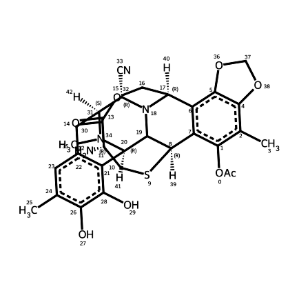 CC(=O)Oc1c(C)c2c(c3c1[C@H]1SC[C@H](N)C(=O)OC[C@@H]3N3C1[C@H]1c4c(cc(C)c(O)c4O)C[C@@H]([C@@H]3C#N)N1C)OCO2